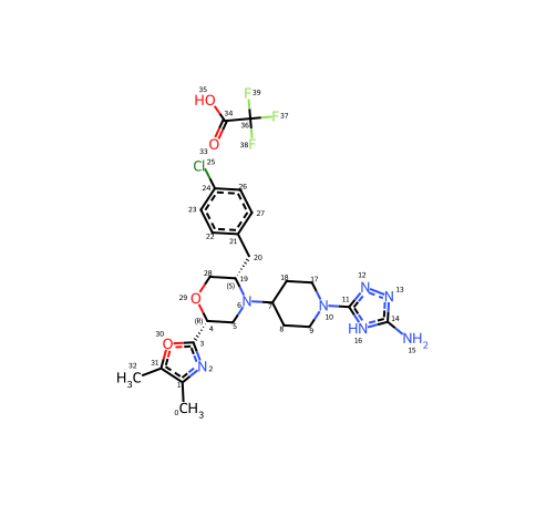 Cc1nc([C@H]2CN(C3CCN(c4nnc(N)[nH]4)CC3)[C@@H](Cc3ccc(Cl)cc3)CO2)oc1C.O=C(O)C(F)(F)F